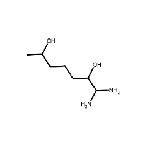 CC(O)CCCC(O)C(N)N